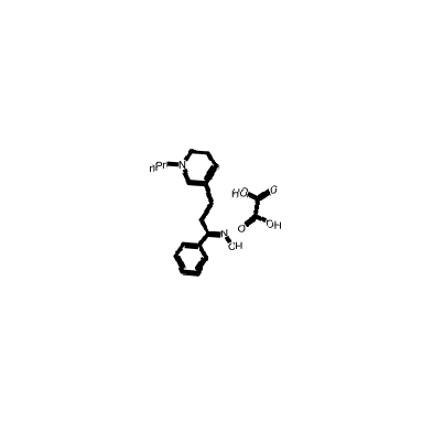 CCCN1CCC=C(CCC(=NO)c2ccccc2)C1.O=C(O)C(=O)O